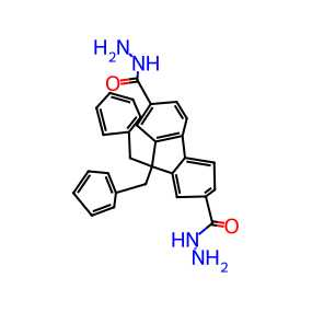 NNC(=O)c1ccc2c(c1)C(Cc1ccccc1)(Cc1ccccc1)c1cc(C(=O)NN)ccc1-2